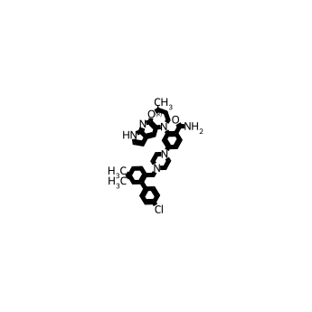 C[C@@H]1CCN(c2cc(N3CCN(CC4=C(c5ccc(Cl)cc5)CC(C)(C)CC4)CC3)ccc2C(N)=O)c2cc3cc[nH]c3nc2O1